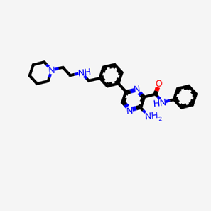 Nc1ncc(-c2cccc(CNCCN3CCCCC3)c2)nc1C(=O)Nc1ccccc1